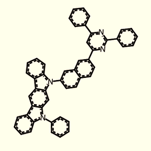 c1ccc(-c2cc(-c3ccc4ccc(-n5c6ccccc6c6cc7c8ccccc8n(-c8ccccc8)c7cc65)cc4c3)nc(-c3ccccc3)n2)cc1